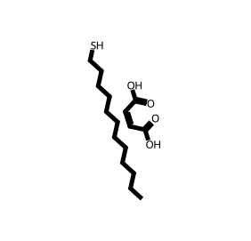 CCCCCCCCCCCCS.O=C(O)/C=C\C(=O)O